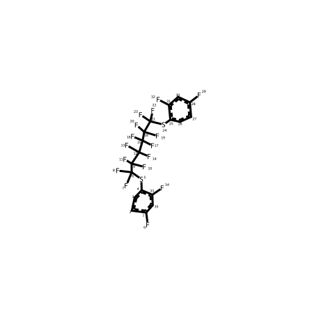 Fc1ccc(SC(F)(F)C(F)(F)C(F)(F)C(F)(F)C(F)(F)C(F)(F)Sc2ccc(F)cc2F)c(F)c1